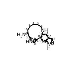 N[C@H]1CCCCCNc2cc3cn[nH]c3cc2-c2c[nH]c1n2